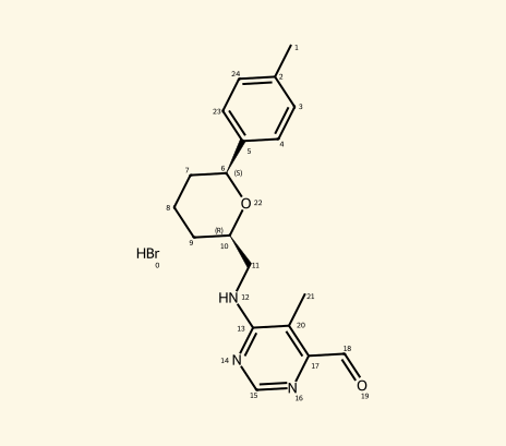 Br.Cc1ccc([C@@H]2CCC[C@H](CNc3ncnc(C=O)c3C)O2)cc1